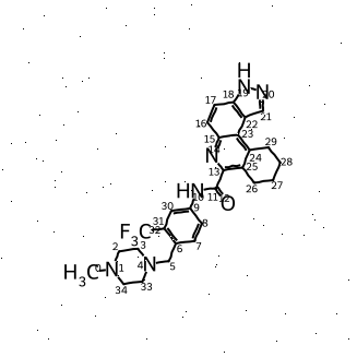 CN1CCN(Cc2ccc(NC(=O)c3nc4ccc5[nH]ncc5c4c4c3CCCC4)cc2C(F)(F)F)CC1